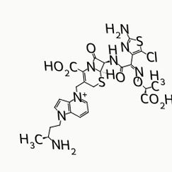 C[C@H](N)CCn1ccc2c1ccc[n+]2CC1=C(C(=O)O)N2C(=O)[C@@H](NC(=O)/C(=N\O[C@@H](C)C(=O)O)c3nc(N)sc3Cl)[C@H]2SC1